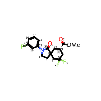 COC(=O)[C@@H]1CC(F)(F)CC2(CCN(c3cccc(F)c3)C2=O)C1